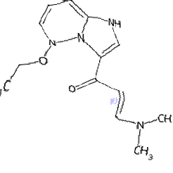 CN(C)/C=C/C(=O)C1=CNC2=CC=CN(OCC(F)(F)F)N21